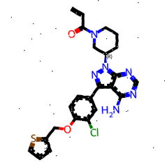 C=CC(=O)N1CCC[C@@H](n2nc(-c3ccc(OCc4cccs4)c(Cl)c3)c3c(N)ncnc32)C1